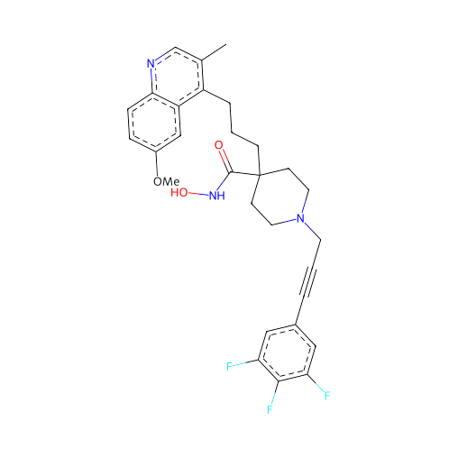 COc1ccc2ncc(C)c(CCCC3(C(=O)NO)CCN(CC#Cc4cc(F)c(F)c(F)c4)CC3)c2c1